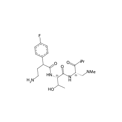 CNC[C@H](NC(=O)[C@@H](NC(=O)C(CCN)c1ccc(F)cc1)C(C)O)C(=O)C(C)C